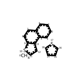 C.c1ccc2c(c1)ccc1sccc12.c1ccsc1